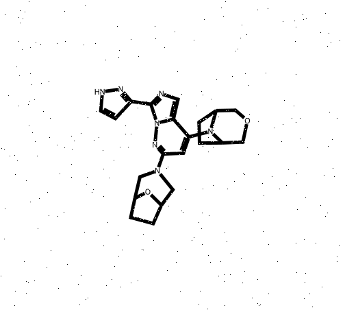 c1cc(-c2ncc3c(N4C5CCC4COC5)cc(N4CC5CCC(C4)O5)nn23)n[nH]1